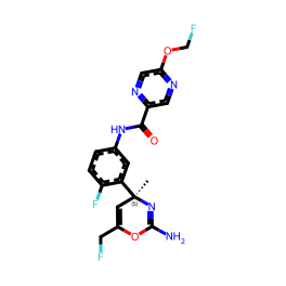 C[C@@]1(c2cc(NC(=O)c3cnc(OCF)cn3)ccc2F)C=C(CF)OC(N)=N1